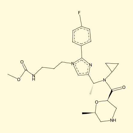 COC(=O)NCCCn1cc([C@@H](C)N(C(=O)[C@H]2CNC[C@@H](C)O2)C2CC2)nc1-c1ccc(F)cc1